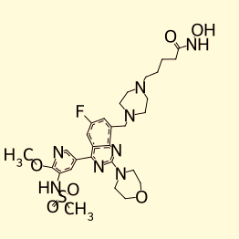 COc1ncc(-c2nc(N3CCOCC3)nc3c(CN4CCN(CCCCC(=O)NO)CC4)cc(F)cc23)cc1NS(C)(=O)=O